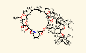 CCC1/C=C(\C)CC(C)CC(OC)C2OC(O)(C(=O)C(=O)N3CCCCC3C(=O)OC(C(C)=CC3CCC(O[Si](C(C)C)(C(C)C)C(C)C)C(O[Si](C(C)C)(C(C)C)C(C)C)C3)C(C)C(O[Si](C(C)C)(C(C)C)C(C)C)CC1=O)C(C)CC2OC